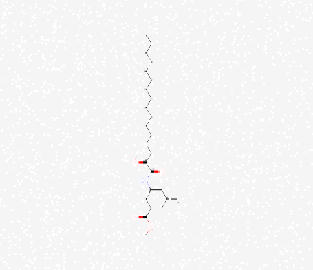 CCCCCCCCCCCCCCC(=O)C(=O)NC(CCC(=O)OC)CC(C)C